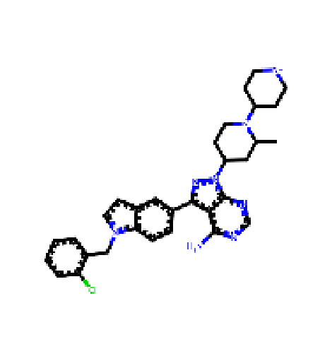 CC1CC(n2nc(-c3ccc4c(ccn4Cc4ccccc4Cl)c3)c3c(N)ncnc32)CCN1C1CCNCC1